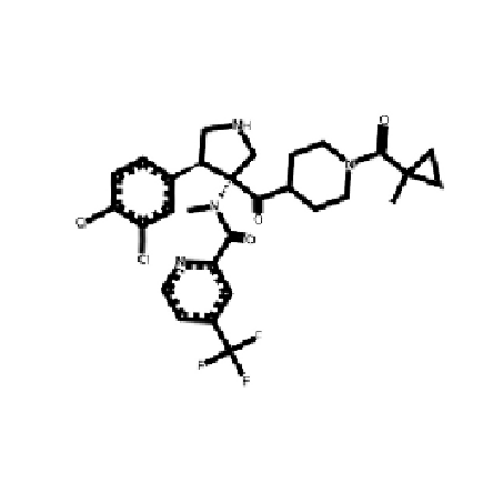 CN(C(=O)c1cc(C(F)(F)F)ccn1)[C@@]1(C(=O)C2CCN(C(=O)C3(C)CC3)CC2)CNC[C@@H]1c1ccc(Cl)c(Cl)c1